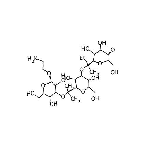 CCC(C)(OC1C(O)[C@H](C(C)(C)OC2C(O)[C@H](OCCN)OC(CO)[C@H]2O)OC(CO)[C@H]1O)[C@@H]1OC(CO)C(=O)C(O)C1O